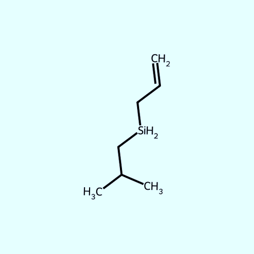 C=CC[SiH2]CC(C)C